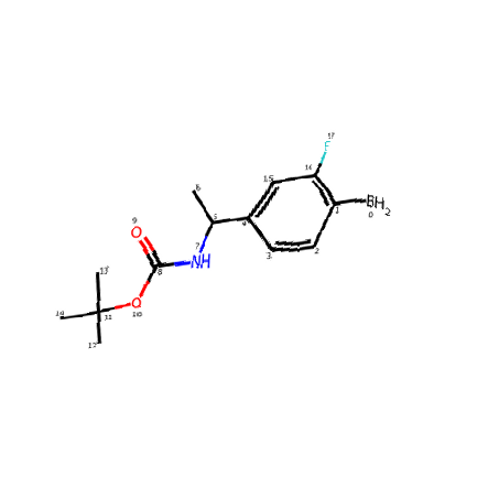 Bc1ccc(C(C)NC(=O)OC(C)(C)C)cc1F